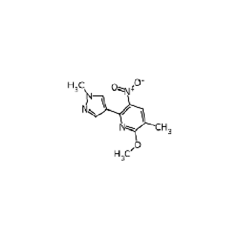 COc1nc(-c2cnn(C)c2)c([N+](=O)[O-])cc1C